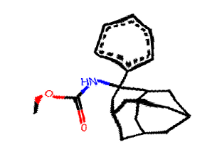 COC(=O)NC1(c2ccccc2)C2CC3CC(C2)CC1C3